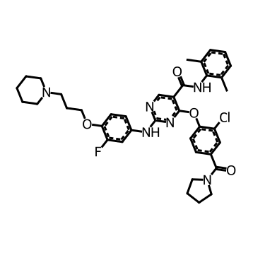 Cc1cccc(C)c1NC(=O)c1cnc(Nc2ccc(OCCCN3CCCCC3)c(F)c2)nc1Oc1ccc(C(=O)N2CCCC2)cc1Cl